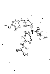 COc1ccc(CN2CC[C@@H](N(C(=O)OC(C)(C)C)c3ccc(/C=C/C(=O)O)cn3)C2)cc1